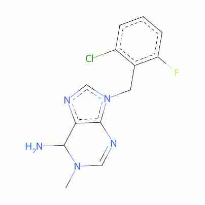 CN1C=Nc2c(ncn2Cc2c(F)cccc2Cl)C1N